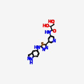 O=C(Nc1cncc(-c2nnc(Nc3ccc4[nH]ncc4c3)s2)c1)C(O)CO